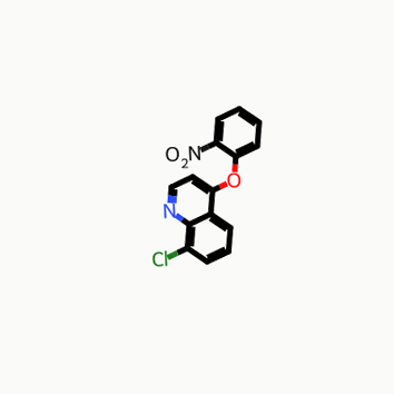 O=[N+]([O-])c1ccccc1Oc1ccnc2c(Cl)cccc12